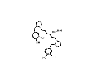 Br.Br.Oc1ccc(CC2CCCN2CCCCCCN2CCCC2Cc2ccc(O)c(O)c2)cc1O